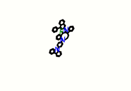 FC1c2ccccc2N(C2=CCC(N3c4ccccc4C4C=CC=CC43)C=C2)CCCC2c3ccccc3N(C3=CC4C=CC=CC4C(c4ccccc4)=C3)C12